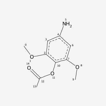 COc1cc(N)cc(OC)c1OC(C)=O